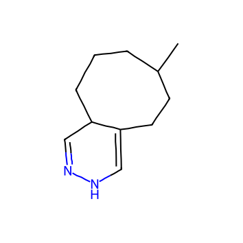 CC1CCCC2C=NNC=C2CC1